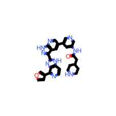 O=C(CC1CCNCC1)Nc1cncc(-c2cnc3[nH]nc(-c4nc5c(-c6ccoc6)nccc5[nH]4)c3c2)c1